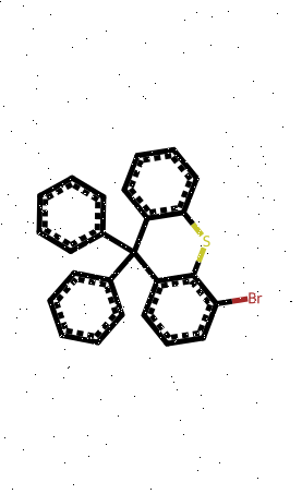 Brc1cccc2c1Sc1ccccc1C2(c1ccccc1)c1ccccc1